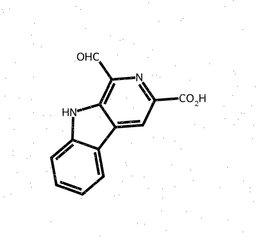 O=Cc1nc(C(=O)O)cc2c1[nH]c1ccccc12